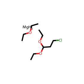 CCOC(CCCl)OCC.CCOCC.[MgH2]